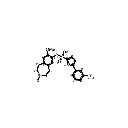 COc1cc2c(cc1NS(=O)(=O)c1ccc(-c3cccc(C(F)(F)F)c3)s1)CCN(C)CC2